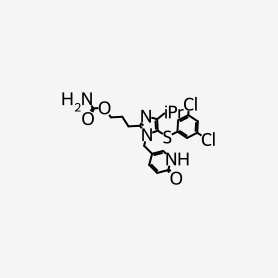 CC(C)c1nc(CCCOC(N)=O)n(Cc2ccc(=O)[nH]c2)c1Sc1cc(Cl)cc(Cl)c1